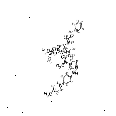 CN1CCN(c2ccc(Nc3ncc4c(n3)N(C)C(=O)N([C@H]3CCN(C(=O)OCc5ccccc5)C[C@H]3NC(=O)OC(C)(C)C)C4)cc2)CC1